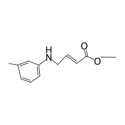 CCOC(=O)C=CCNc1cccc(C)c1